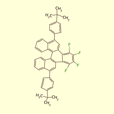 CC(C)(C)c1ccc(-c2cc3c4c(F)c(F)c(F)c(F)c4c4cc(-c5ccc(C(C)(C)C)cc5)c5ccccc5c4c3c3ccccc23)cc1